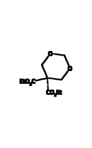 CCOC(=O)C1(C(=O)OCC)COCOC1